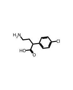 NCCC(C(=O)O)c1ccc(Cl)cc1